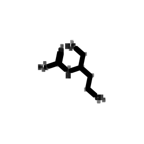 CCCC(CC)NC(C)=O